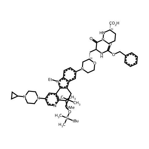 CCn1c(-c2cc(N3CCN(C4CC4)CC3)cnc2C(C)OC)c(CC(C)(C)CO[Si](C)(C)C(C)(C)C)c2cc(N3CCO[C@@H](CC(NC(=O)OCc4ccccc4)C(=O)N4CCC[C@@H](C(=O)O)N4)C3)ccc21